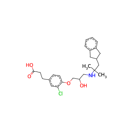 CC(C)(CC1Cc2ccccc2C1)NCC(O)COc1ccc(CCC(=O)O)cc1Cl